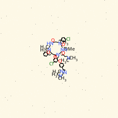 COC[C@@H]1NC(=O)[C@H](CCCCN(C)C)N(Cc2ccc(Cl)cc2Oc2ccc(-c3cnc(CN(C)C)n3C)cc2)C(=O)C[C@@H](Cc2ccccc2)C(=O)N(C)[C@@H](C)CNC(=O)C[C@H](Cc2ccc(Cl)cc2)N(C)C1=O